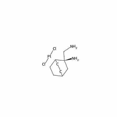 NC[C@]1(N)CC2CCC1CC2.[Cl][Pt][Cl]